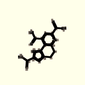 O=C(O)c1cc(C(=O)O)c2c(n1)CCc1cc(C(=O)O)[nH]c1-2